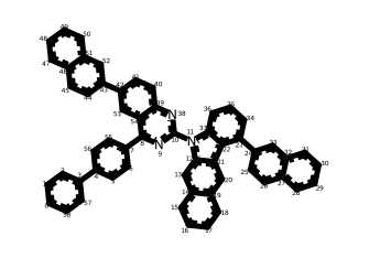 c1ccc(-c2ccc(-c3nc(-n4c5cc6ccccc6cc5c5c(-c6ccc7ccccc7c6)cccc54)nc4ccc(-c5ccc6ccccc6c5)cc34)cc2)cc1